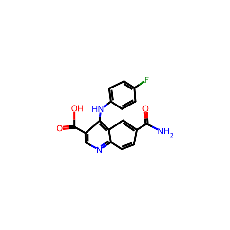 NC(=O)c1ccc2ncc(C(=O)O)c(Nc3ccc(F)cc3)c2c1